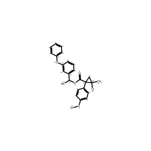 CCOc1ccc(C2(C(=O)OC(C#N)c3cccc(Oc4ccccc4)c3)CC2(C)Cl)cc1